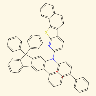 c1ccc(-c2ccc(N(c3ccc4c(n3)sc3c5ccccc5ccc43)c3cc4c(cc3-c3ccccc3)-c3ccccc3C4(c3ccccc3)c3ccccc3)cc2)cc1